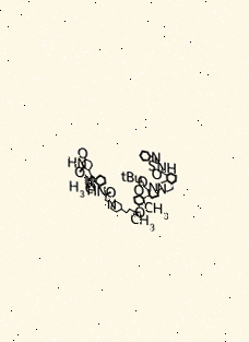 Cc1c(O[C@@H](C)CCC2CCN(CC(=O)Nc3cccc4c(C5CCC(=O)NC5=O)nn(C)c34)CC2)cccc1-c1ccc(N2CCc3cccc(C(=O)Nc4nc5ccccc5s4)c3C2)nc1C(=O)OC(C)(C)C